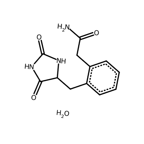 NC(=O)Cc1ccccc1CC1NC(=O)NC1=O.O